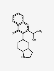 CC(O)c1nc2ccccn2c(=O)c1N1CCC2NCCC2C1